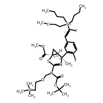 CCC[CH2][Sn]([CH2]CCC)([CH2]CCC)/[C](F)=C/c1ccc(F)c([C@@]2(C)N=C(N(COCC[Si](C)(C)C)C(=O)OC(C)(C)C)S[C@@]3(C(=O)OC)C[C@H]32)c1